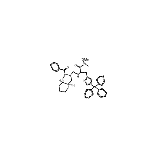 CON(C)C(=O)C(Cc1cn(C(c2ccccc2)(c2ccccc2)c2ccccc2)cn1)NC[C@H]1C[C@@H]2CCCC[C@H]2CN1C(=O)c1ccccc1